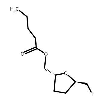 CCCCC(=O)OC[C@H]1CC[C@H](CI)O1